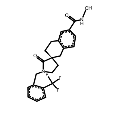 O=C(NO)c1ccc2c(c1)CC[C@]1(CCN(Cc3ccccc3C(F)(F)F)C1=O)C2